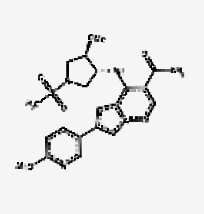 COc1ccc(-c2cc3c(N[C@@H]4CN(S(C)(=O)=O)C[C@H]4OC)c(C(N)=O)cnn3c2)cn1